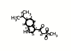 CC(C)c1ccc2c(C(=O)CS(C)(=O)=O)c[nH]c2c1